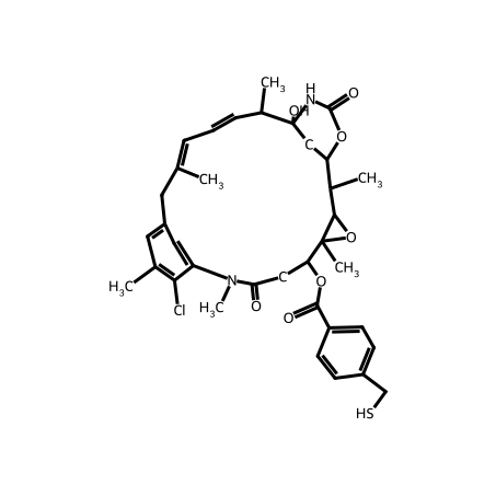 C/C1=C\C=C\C(C)C2(O)CC(OC(=O)N2)C(C)C2OC2(C)C(OC(=O)c2ccc(CS)cc2)CC(=O)N(C)c2cc(cc(C)c2Cl)C1